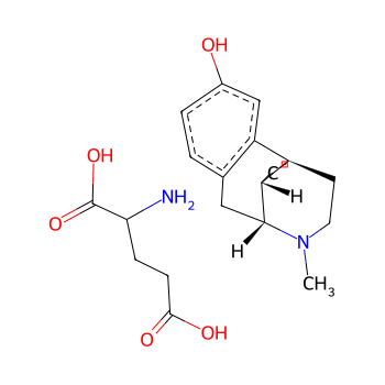 CN1CC[C@]23CCCC[C@H]2[C@H]1Cc1ccc(O)cc13.NC(CCC(=O)O)C(=O)O